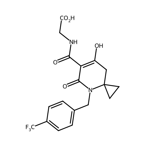 O=C(O)CNC(=O)C1=C(O)CC2(CC2)N(Cc2ccc(C(F)(F)F)cc2)C1=O